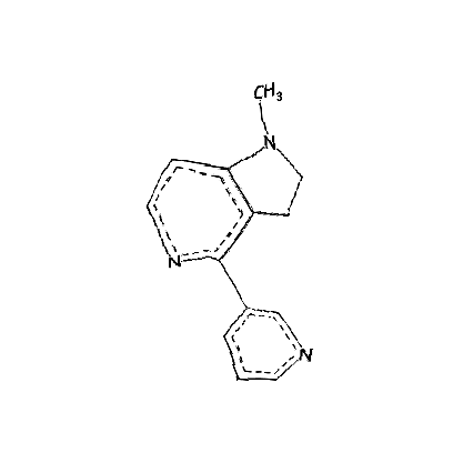 CN1CCc2c1ccnc2-c1cccnc1